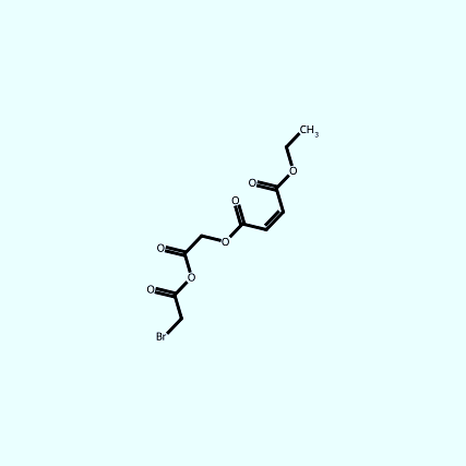 CCOC(=O)/C=C\C(=O)OCC(=O)OC(=O)CBr